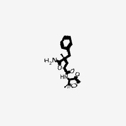 C[C@@H]1OCC(=O)C1NC(=O)[CH]C[C@@](C)(Cc1ccccc1)C(N)=O